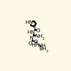 BNPOC(=O)/N=C(\N)NC(=O)[C@H]1CCNC1